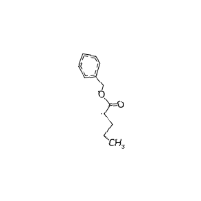 CCC[CH]C(=O)OCc1ccccc1